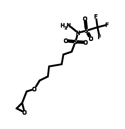 NN(S(=O)(=O)CCCCCCOCC1CO1)S(=O)(=O)C(F)(F)F